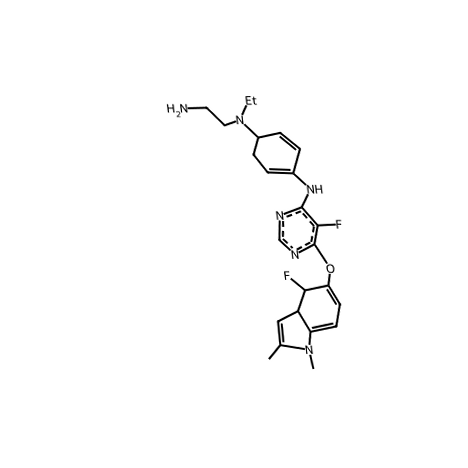 CCN(CCN)C1C=CC(Nc2ncnc(OC3=CC=C4C(C=C(C)N4C)C3F)c2F)=CC1